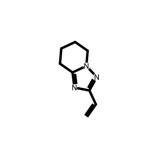 C=Cc1nc2n(n1)CCCC2